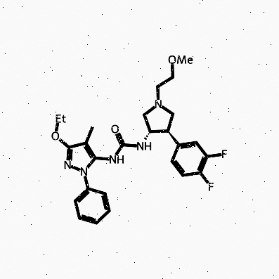 CCOc1nn(-c2ccccc2)c(NC(=O)N[C@@H]2CN(CCOC)C[C@H]2c2ccc(F)c(F)c2)c1C